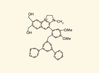 COc1cc(Cc2cc(-c3ccccc3)cc(-c3ccccc3)c2)c(-c2cc3cc(CO)c(CO)cc3[n+]3c2N(C)CC3)cc1OC